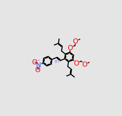 COCOc1cc(OCOC)c(CC=C(C)C)c(/C=C/c2ccc([N+](=O)[O-])cc2)c1CC=C(C)C